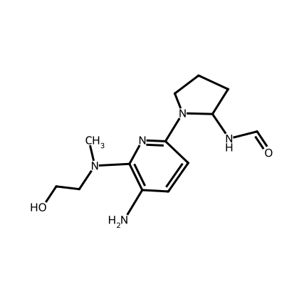 CN(CCO)c1nc(N2CCCC2NC=O)ccc1N